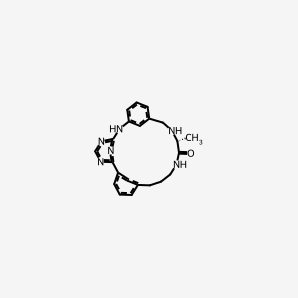 C[C@H]1NCc2cccc(c2)Nc2ncnc(n2)-c2cccc(c2)CCCNC1=O